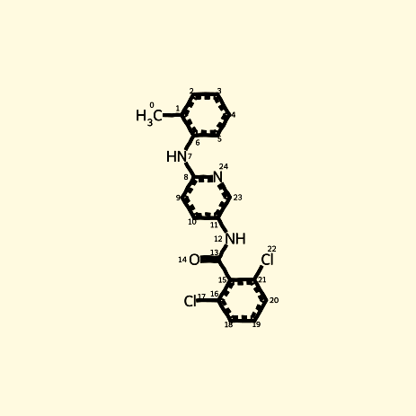 Cc1ccccc1Nc1ccc(NC(=O)c2c(Cl)cccc2Cl)cn1